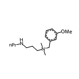 CCCNCCC[N+](C)(C)Cc1cccc(OC)c1